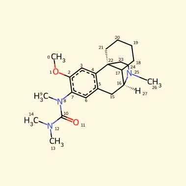 COc1cc2c(cc1N(C)C(=O)N(C)C)C[C@H]1C3CCCC[C@@]23CCN1C